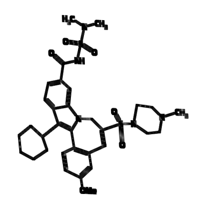 COc1ccc2c(c1)C=C(S(=O)(=O)N1CCN(C)CC1)Cn1c-2c(C2CCCCC2)c2ccc(C(=O)NS(=O)(=O)N(C)C)cc21